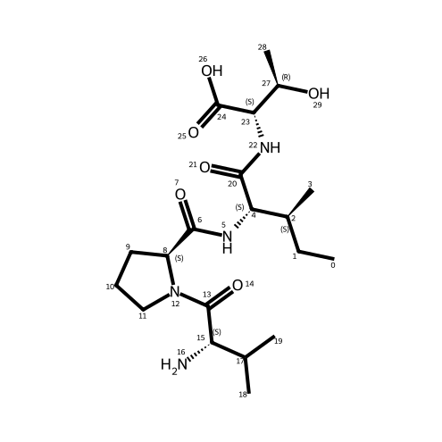 CC[C@H](C)[C@H](NC(=O)[C@@H]1CCCN1C(=O)[C@@H](N)C(C)C)C(=O)N[C@H](C(=O)O)[C@@H](C)O